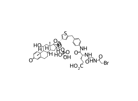 C[C@]12C=CC(=O)C=C1CC[C@@H]1[C@@H]2[C@@H](O)C[C@@]2(C)[C@H]1C[C@H]1O[C@@H](c3csc(Cc4ccc(NC(=O)[C@H](CCC(=O)O)NC(=O)CNC(=O)CBr)cc4)c3)O[C@]12C(=O)COP(=O)(O)O